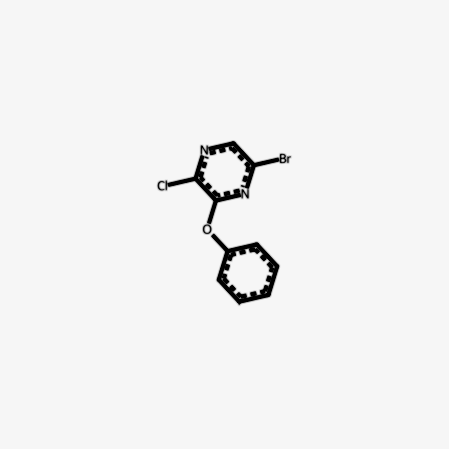 Clc1ncc(Br)nc1Oc1c[c]ccc1